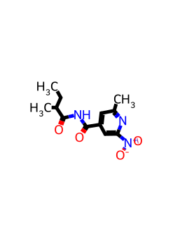 CCC(C)C(=O)NC(=O)c1cc(C)nc([N+](=O)[O-])c1